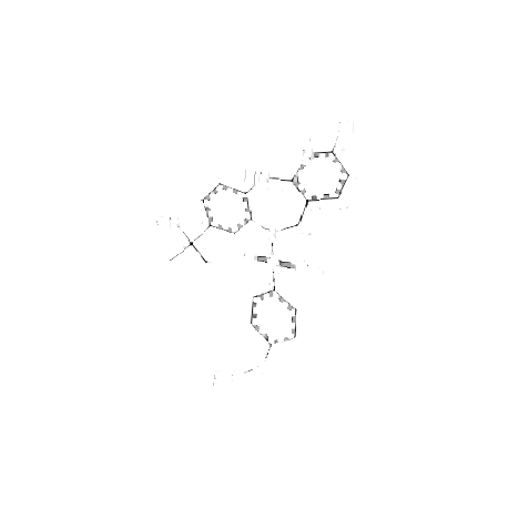 [C-]#[N+]C(C)(C)c1ccc2c(c1)N(S(=O)(=O)c1ccc(OC(F)(F)F)cc1)Cc1ccc(C(F)(F)F)nc1N2